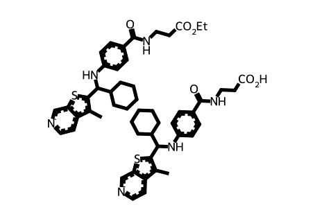 CCOC(=O)CCNC(=O)c1ccc(NC(c2sc3cnccc3c2C)C2CCCCC2)cc1.Cc1c(C(Nc2ccc(C(=O)NCCC(=O)O)cc2)C2CCCCC2)sc2cnccc12